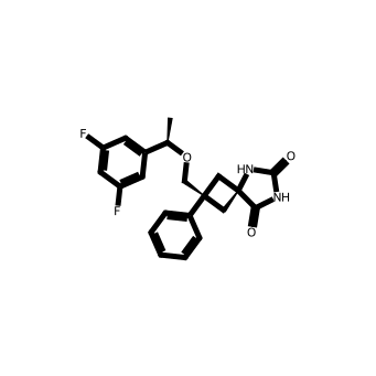 C[C@@H](OC[C@]1(c2ccccc2)C[C@@]2(C1)NC(=O)NC2=O)c1cc(F)cc(F)c1